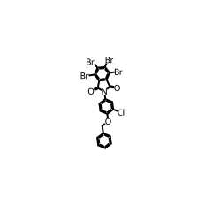 O=C1c2c(Br)c(Br)c(Br)c(Br)c2C(=O)N1c1ccc(OCc2ccccc2)c(Cl)c1